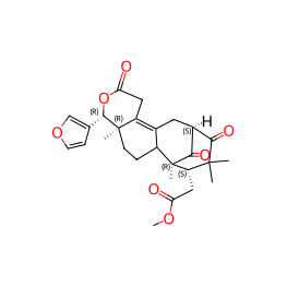 COC(=O)C[C@H]1C(C)(C)C(=O)[C@@H]2CC3=C4CC(=O)O[C@@H](c5ccoc5)[C@]4(C)CCC3[C@@]1(C)C2=O